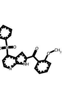 COc1ccccc1C(=O)c1cc2c(S(=O)(=O)c3ccccc3)ccnc2[nH]1